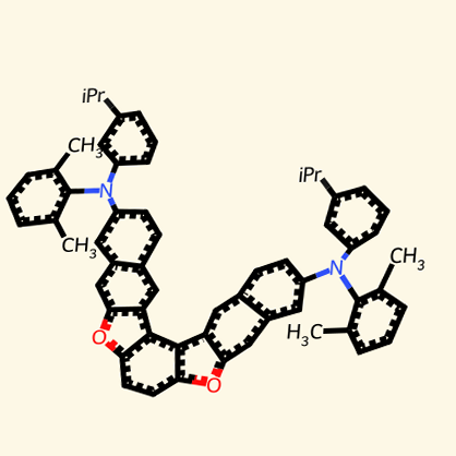 Cc1cccc(C)c1N(c1cccc(C(C)C)c1)c1ccc2cc3c(cc2c1)oc1ccc2oc4cc5cc(N(c6cccc(C(C)C)c6)c6c(C)cccc6C)ccc5cc4c2c13